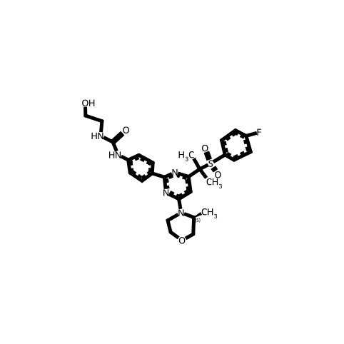 C[C@H]1COCCN1c1cc(C(C)(C)S(=O)(=O)c2ccc(F)cc2)nc(-c2ccc(NC(=O)NCCO)cc2)n1